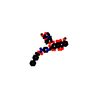 COc1cccc2c1C(=O)c1c(O)c3c(c(O)c1C2=O)C[C@@](O)(C(=O)CN1CCC(N(C)C(=O)OC(C)(C)c2ccc(-c4ccccc4)cc2)CC1)C[C@@H]3O[C@H]1C[C@H]2[C@H](O[C@@H]3[C@@H](OC)OCCN32)[C@H](C)O1